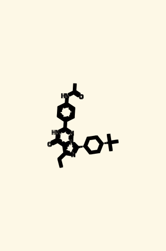 CCc1nc([C@H]2CC[C@@H](C(C)(C)C)CC2)n2nc(-c3ccc(NC(C)=O)cc3)[nH]c(=O)c12